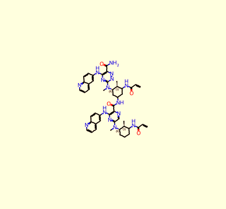 C=CC(=O)NC1CCC[C@@H](N(C)c2cnc(C(=O)NC3CC(NC(=O)C=C)[C@H](C)[C@H](N(C)c4nnc(C(N)=O)c(Nc5ccc6ncccc6c5)n4)C3)c(Nc3ccc4ncccc4c3)n2)[C@H]1C